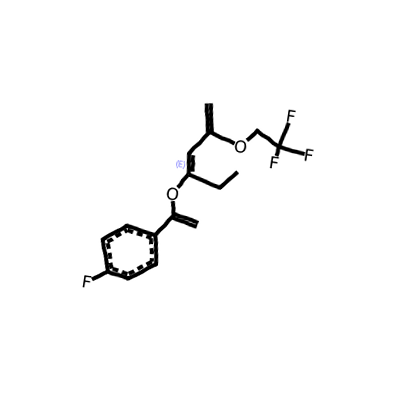 C=C(/C=C(\CC)OC(=C)c1ccc(F)cc1)OCC(F)(F)F